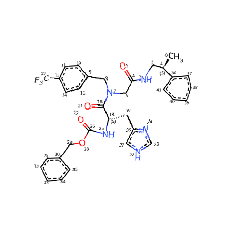 C[C@H](CNC(=O)CN(Cc1ccc(C(F)(F)F)cc1)C(=O)[C@H](Cc1c[nH]cn1)NC(=O)OCc1ccccc1)c1ccccc1